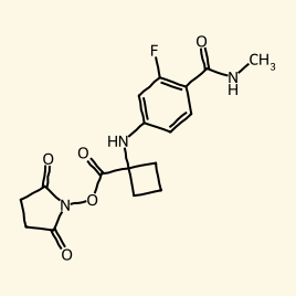 CNC(=O)c1ccc(NC2(C(=O)ON3C(=O)CCC3=O)CCC2)cc1F